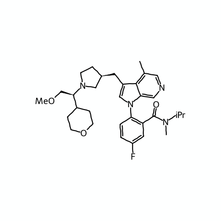 COC[C@H](C1CCOCC1)N1CC[C@@H](Cc2cn(-c3ccc(F)cc3C(=O)N(C)C(C)C)c3cncc(C)c23)C1